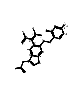 C=C(C)CC1=CCc2cc(CCc3ccc(S)cc3C)c(C(C(=C)C)=C(C)C)cc21